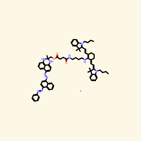 CCCCN1/C(=C/C=C2\CCCC(/C=C/C3=[N+](CCCC)c4ccccc4C3(C)C)=C2NCCCCNC(=O)CCC(=O)OCC2(C)Nc3cccc4c(/N=N/c5ccc(/N=N/c6ccccc6)c6ccccc56)ccc(c34)N2)C(C)(C)c2ccccc21.[I-]